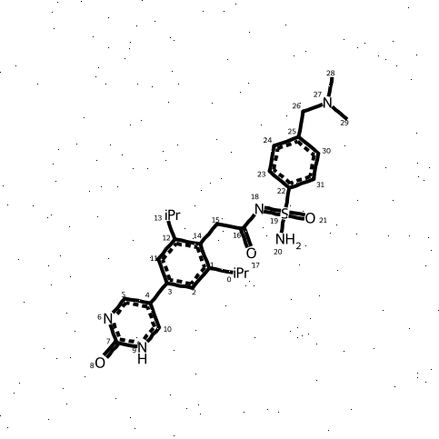 CC(C)c1cc(-c2cnc(=O)[nH]c2)cc(C(C)C)c1CC(=O)N=S(N)(=O)c1ccc(CN(C)C)cc1